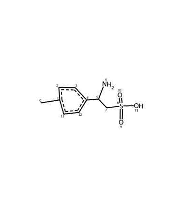 Cc1ccc(C(N)CS(=O)(=O)O)cc1